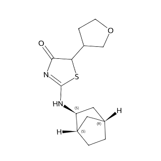 O=C1N=C(N[C@H]2C[C@@H]3CC[C@H]2C3)SC1C1CCOC1